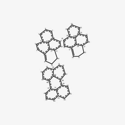 C1=c2ccc3cccc4ccc(c2c43)CC1.C1=c2ccc3cccc4ccc(c2c43)CC1.c1cc2cccc3c4cccc5cccc(c(c1)c23)c54